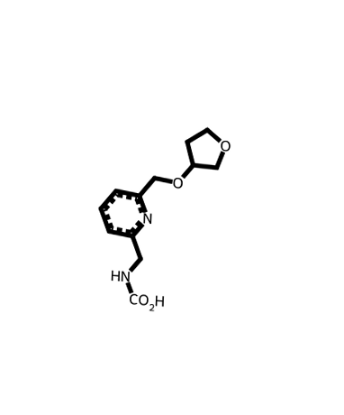 O=C(O)NCc1cccc(COC2CCOC2)n1